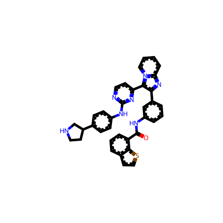 O=C(Nc1cccc(-c2nc3ccccn3c2-c2ccnc(Nc3ccc(C4CCNC4)cc3)n2)c1)c1cccc2ccsc12